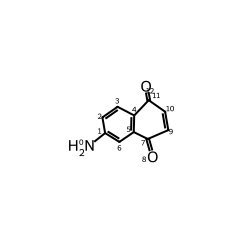 Nc1ccc2c(c1)C(=O)C=CC2=O